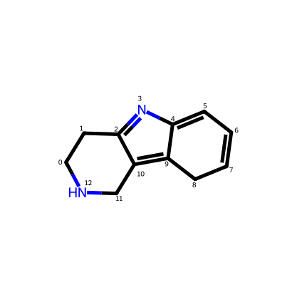 [CH]1CC2=NC3=CC=CCC3=C2CN1